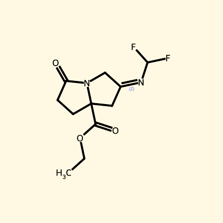 CCOC(=O)C12CCC(=O)N1C/C(=N\C(F)F)C2